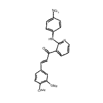 COc1ccc(C=CC(=O)c2cccnc2Nc2ccc([N+](=O)[O-])cc2)cc1OC